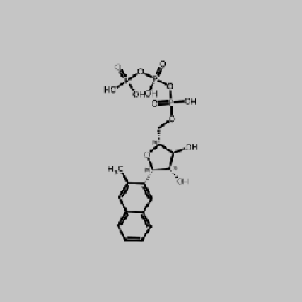 Cc1cc2ccccc2cc1[C@@H]1O[C@H](COP(=O)(O)OP(=O)(O)OP(=O)(O)O)C(O)[C@@H]1O